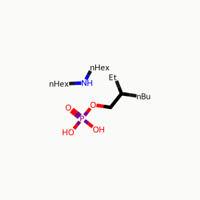 CCCCC(CC)COP(=O)(O)O.CCCCCCNCCCCCC